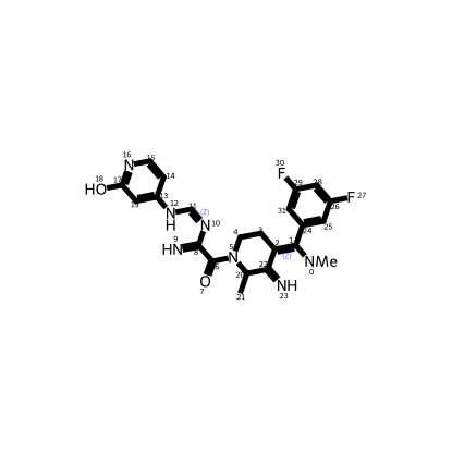 CN/C(=C1/CCN(C(=O)C(=N)/N=C\Nc2ccnc(O)c2)C(C)C1=N)c1cc(F)cc(F)c1